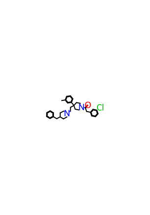 Cc1cccc(C2(CCN3CCC(Cc4ccccc4)CC3)CCN(C(=O)Cc3cccc(Cl)c3)CC2)c1